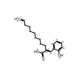 C=CCCCCCCCC/C(=C\c1ccccc1O)C(=O)O